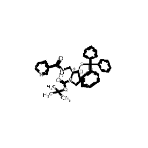 CC(C)(C)OC(=O)N1CC[C@H](SC(c2ccccc2)(c2ccccc2)c2ccccc2)[C@@H]1CNC(=O)c1cccnc1